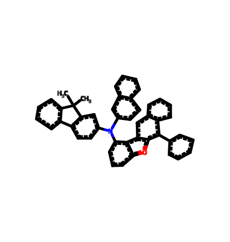 CC1(C)c2ccccc2-c2ccc(N(c3ccc4ccccc4c3)c3cccc4oc5c(-c6ccccc6)c6ccccc6cc5c34)cc21